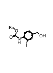 CC(C)(C)OC(=O)Nc1ccc(CO)cc1I